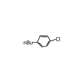 [CH2]CC[CH]c1ccc(Cl)cc1